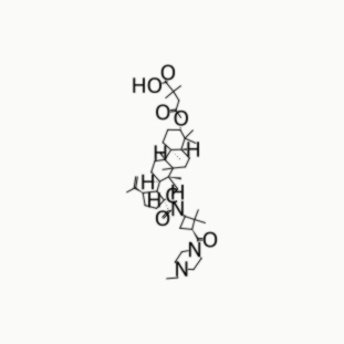 C=C(C)[C@@H]1CC[C@]2(C(=O)N[C@@H]3C[C@H](C(=O)N4CCN(CC)CC4)C3(C)C)CC[C@]3(C)[C@H](CC[C@H]4C3(C)CC[C@H]3C(C)(C)[C@@H](OC(=O)CC(C)(C)C(=O)O)CC[C@@]34C)[C@@H]12